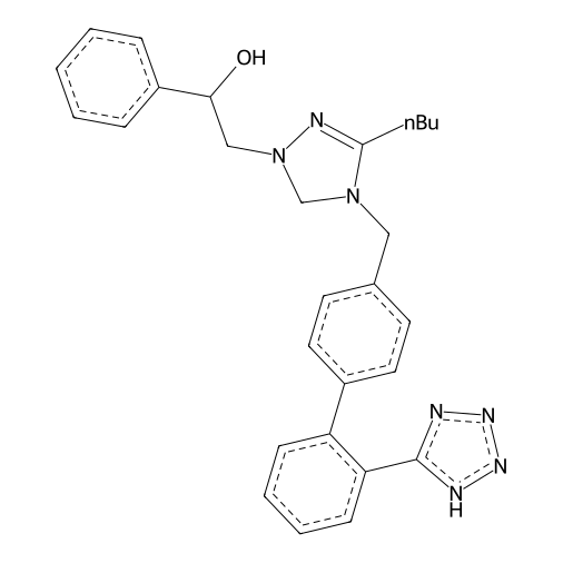 CCCCC1=NN(CC(O)c2ccccc2)CN1Cc1ccc(-c2ccccc2-c2nnn[nH]2)cc1